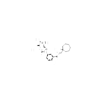 CCNC(=O)[N+]1(C)C(=O)N(c2ccc(Cl)c(C(=O)NCC3(O)CCCCCC3)c2)N=C1C